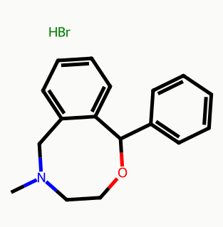 Br.CN1CCOC(c2ccccc2)c2ccccc2C1